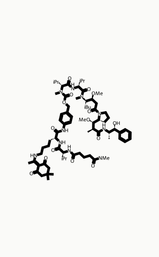 CC[C@@H](C)[C@H]([C@H](CC(=O)N1CCC[C@@H]1[C@@H](OC)[C@H](C)C(=O)N[C@@H](C)[C@H](O)c1ccccc1)OC)N(C)C(=O)[C@H](NC(=O)[C@@H](C(C)C)N(C)C(=O)OCc1ccc(NC(=O)[C@@H](CCCCNC(C)=C2C(=O)CC(C)(C)CC2=O)NC(=O)[C@H](NC(=O)CCCC(=O)NC)C(C)C)cc1)C(C)C